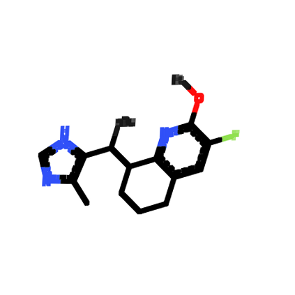 CCCCC(c1[nH]cnc1C)C1CCCc2cc(F)c(OCC)nc21